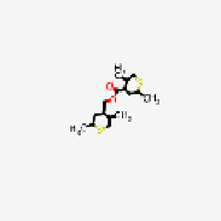 CC1CC(COC(=O)C2CC(C)SCC2C)C(C)CS1